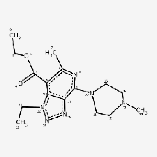 CCOC(=O)c1c(C)nc(N2CCN(C)CC2)c2nnn(CC)c12